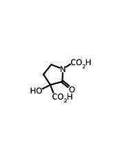 O=C(O)N1CCC(O)(C(=O)O)C1=O